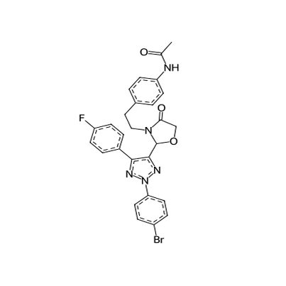 CC(=O)Nc1ccc(CCN2C(=O)COC2c2nn(-c3ccc(Br)cc3)nc2-c2ccc(F)cc2)cc1